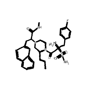 CCCC1CN(C(Cc2ccc3ccccc3c2)C(=O)NC)CCN1C(=O)C(N)(Cc1ccc(F)cc1)S(N)(=O)=O